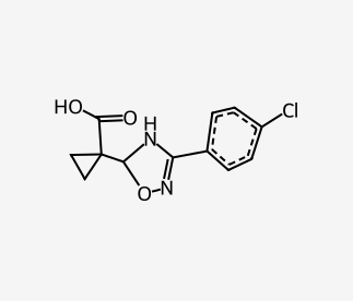 O=C(O)C1(C2NC(c3ccc(Cl)cc3)=NO2)CC1